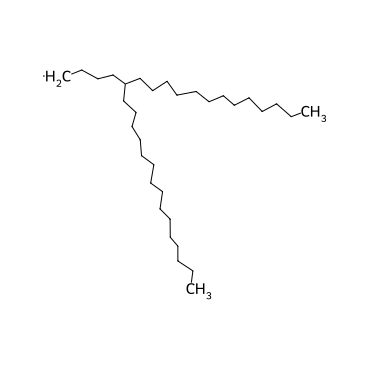 [CH2]CCCC(CCCCCCCCCCCCC)CCCCCCCCCCCCCCC